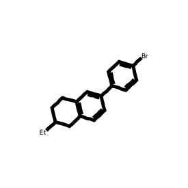 CCC1CCc2cc(-c3ccc(Br)cc3)ccc2C1